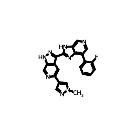 Cn1cc(-c2cc3c(-c4nc5c(-c6ccccc6F)cncc5[nH]4)n[nH]c3cn2)cn1